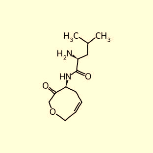 CC(C)C[C@H](N)C(=O)N[C@H]1CC=CCOCC1=O